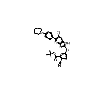 CC(C)(C)OC(=O)c1cc(Oc2nc3nc(-c4ccc(N5CCCCC5)cc4)c(Cl)cc3[nH]2)ccc1C#N